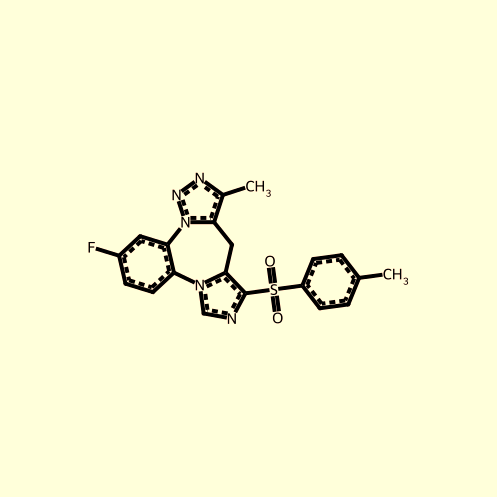 Cc1ccc(S(=O)(=O)c2ncn3c2Cc2c(C)nnn2-c2cc(F)ccc2-3)cc1